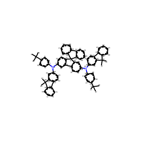 CC(C)(C)c1ccc(N(c2ccc3c(c2)-c2ccc(N(c4ccc(C(C)(C)C)cc4)c4ccc5c(c4)C(C)(C)c4ccccc4-5)cc2C32c3ccccc3-c3ccccc32)c2ccc3c(c2)C(C)(C)c2ccccc2-3)cc1